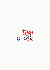 CC1(C)COC2(CCC3=C4C(CCC3(O)C2)C2CCC(C)(O)[C@@]2(C)C[C@@H]4c2ccc(CCc3cccnc3)cc2)OC1